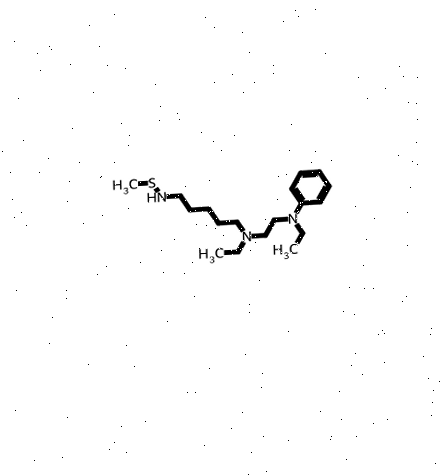 CCN(CCCCCNSC)CCN(CC)c1ccccc1